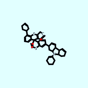 C1=CC2=C(CC1)Sc1c(C3CC=CCC3)cccc1C21c2ccccc2Sc2cc(C3C=CC4C5C=CCCC5N(C5=CCCCC5)C4C3)ccc21